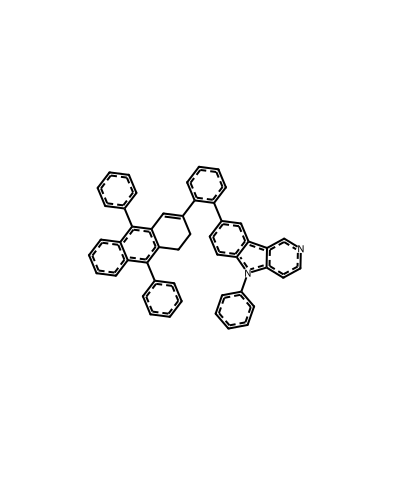 C1=C(c2ccccc2-c2ccc3c(c2)c2cnccc2n3-c2ccccc2)CCc2c1c(-c1ccccc1)c1ccccc1c2-c1ccccc1